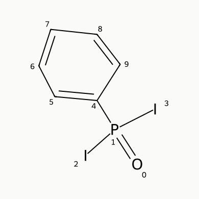 O=P(I)(I)c1ccccc1